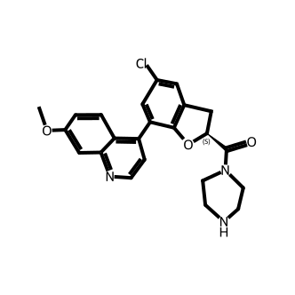 COc1ccc2c(-c3cc(Cl)cc4c3O[C@H](C(=O)N3CCNCC3)C4)ccnc2c1